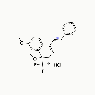 COc1ccc2c(c1)C(OC)(C(F)(F)F)CN=C2/C=C/c1ccccc1.Cl